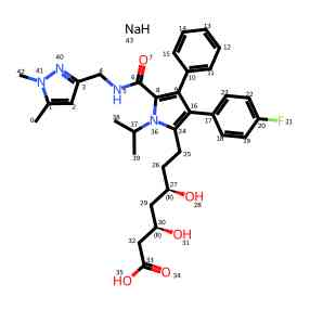 Cc1cc(CNC(=O)c2c(-c3ccccc3)c(-c3ccc(F)cc3)c(CC[C@@H](O)C[C@@H](O)CC(=O)O)n2C(C)C)nn1C.[NaH]